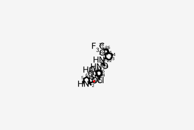 CC1(C)NCCCC1S(=O)(=O)c1c(Cl)ccc(NC(=O)NC2CCCc3cc(C(F)(F)F)oc32)c1O